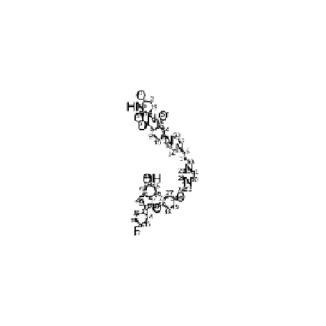 O=C1CCC(N2C(=O)c3ccc(N4CCN(CCCN5CCN(CCOc6ccc(Oc7c(-c8ccc(F)cc8)sc8cc(O)ccc78)cc6)CC5)CC4)cc3C2=O)C(=O)N1